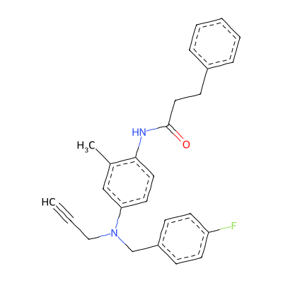 C#CCN(Cc1ccc(F)cc1)c1ccc(NC(=O)CCc2ccccc2)c(C)c1